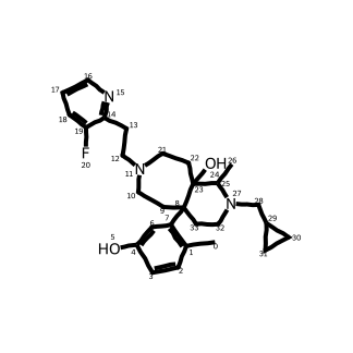 Cc1ccc(O)cc1C12CCN(CCc3ncccc3F)CCC1(O)C(C)N(CC1CC1)CC2